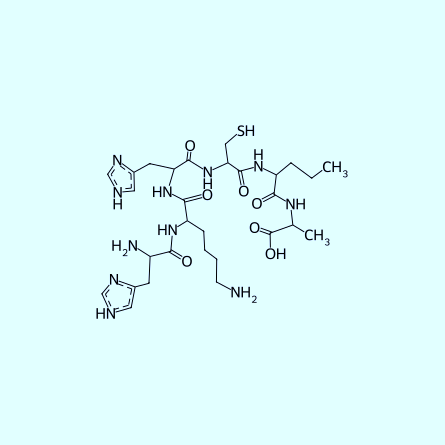 CCCC(NC(=O)C(CS)NC(=O)C(Cc1c[nH]cn1)NC(=O)C(CCCCN)NC(=O)C(N)Cc1c[nH]cn1)C(=O)NC(C)C(=O)O